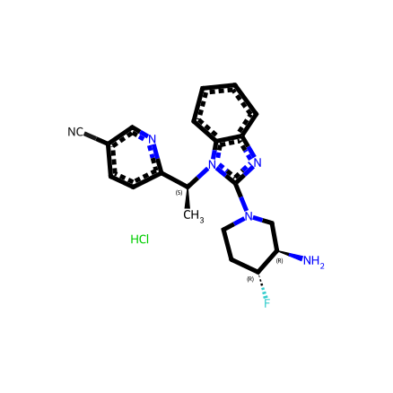 C[C@@H](c1ccc(C#N)cn1)n1c(N2CC[C@@H](F)[C@H](N)C2)nc2ccccc21.Cl